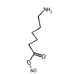 NCCCCCC(=O)ON=O